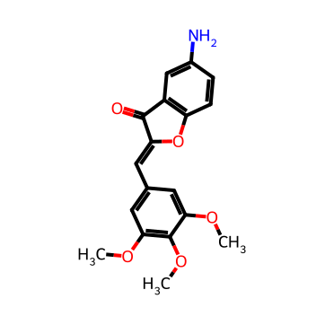 COc1cc(/C=C2\Oc3ccc(N)cc3C2=O)cc(OC)c1OC